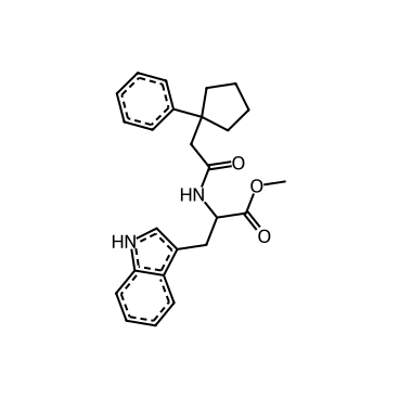 COC(=O)C(Cc1c[nH]c2ccccc12)NC(=O)CC1(c2ccccc2)CCCC1